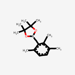 Cc1ccc(C)c(B2OC(C)(C)C(C)(C)O2)c1C